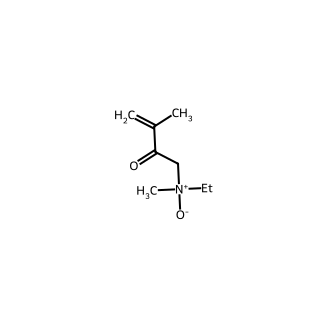 C=C(C)C(=O)C[N+](C)([O-])CC